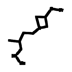 CC(CCN1CC(OC(C)C)C1)CNC(C)(C)C